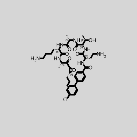 CCC[C@H]1OC1C(=O)[C@H](C)NC(=O)[C@H](CCCCN)NC(=O)[C@H](C)NC(=O)[C@@H](NC(=O)[C@H](CCN)NC(=O)c1ccc(-c2ccc(Cl)cc2)cc1)[C@@H](C)O